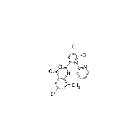 Cc1cc(Cl)cc2c(=O)oc(-c3cc(Cl)c(Cl)n3-c3ccccn3)nc12